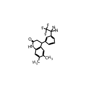 Cc1cc2c(cc1C)C(c1cccc(C3(C(F)(F)F)N=N3)c1)CC(=O)N2